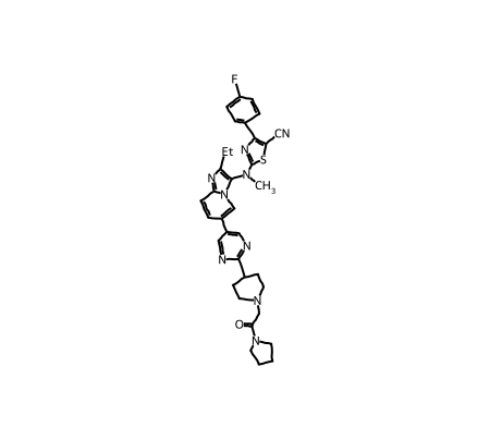 CCc1nc2ccc(-c3cnc(C4CCN(CC(=O)N5CCCC5)CC4)nc3)cn2c1N(C)c1nc(-c2ccc(F)cc2)c(C#N)s1